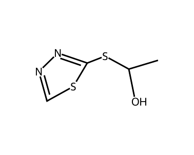 CC(O)Sc1nncs1